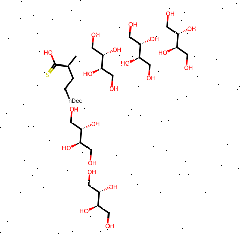 CCCCCCCCCCCCC(C)C(O)=S.OC[C@@H](O)[C@@H](O)CO.OC[C@@H](O)[C@@H](O)CO.OC[C@@H](O)[C@@H](O)CO.OC[C@@H](O)[C@@H](O)CO.OC[C@@H](O)[C@@H](O)CO